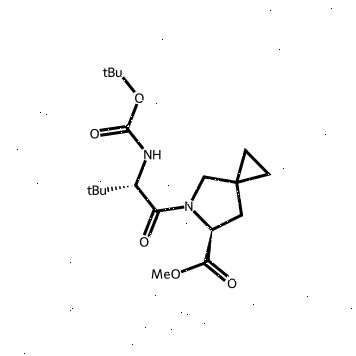 COC(=O)[C@@H]1CC2(CC2)CN1C(=O)[C@@H](NC(=O)OC(C)(C)C)C(C)(C)C